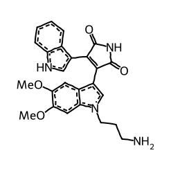 COc1cc2c(C3=C(c4c[nH]c5ccccc45)C(=O)NC3=O)cn(CCCN)c2cc1OC